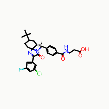 C[C@H](c1ccc(C(=O)NCCC(=O)O)cc1)N1C(=O)C(c2cc(F)cc(Cl)c2)=NC12CCC(C(C)(C)C)CC2